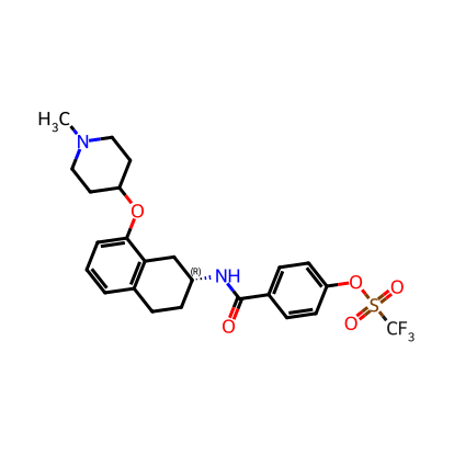 CN1CCC(Oc2cccc3c2C[C@H](NC(=O)c2ccc(OS(=O)(=O)C(F)(F)F)cc2)CC3)CC1